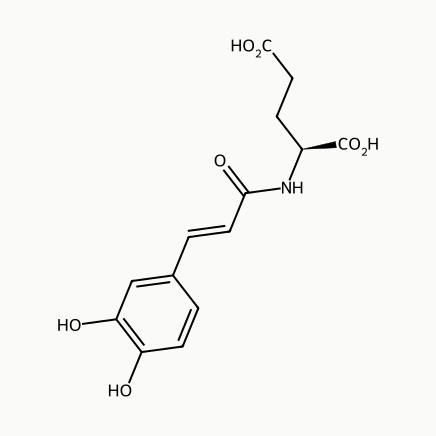 O=C(O)CC[C@H](NC(=O)C=Cc1ccc(O)c(O)c1)C(=O)O